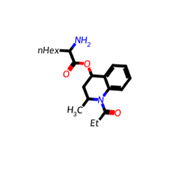 CCCCCCC(N)C(=O)OC1CC(C)N(C(=O)CC)c2ccccc21